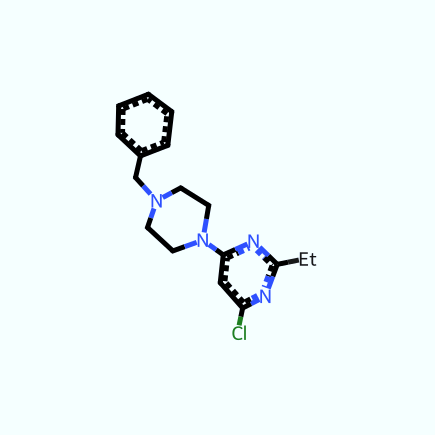 CCc1nc(Cl)cc(N2CCN(Cc3ccccc3)CC2)n1